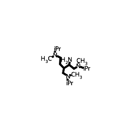 CC(C)N(C)CCC(CN(C)C(C)C)C(N)CN(C)C(C)C